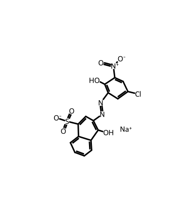 O=[N+]([O-])c1cc(Cl)cc(/N=N/c2cc(S(=O)(=O)[O-])c3ccccc3c2O)c1O.[Na+]